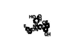 CCc1c(F)ccc2cc(O)cc(N3CCc4c(nc(OC[C@@]56CCCN5C[C@H](F)C6)nc4N4CCC(O)C(CO)CC4)C3)c12